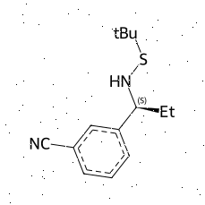 CC[C@H](NSC(C)(C)C)c1cccc(C#N)c1